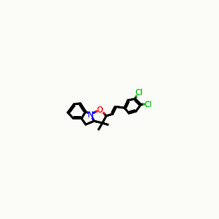 CC1(C)C(C=Cc2ccc(Cl)c(Cl)c2)ON2c3ccccc3CC21